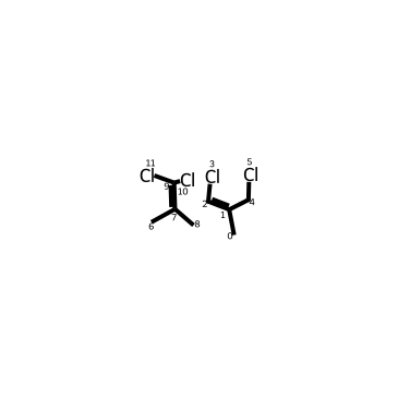 CC(=CCl)CCl.CC(C)=C(Cl)Cl